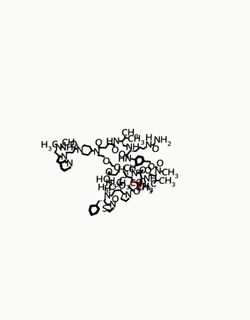 CC[C@H](C)[C@@H]([C@@H](CC(=O)N1CCC[C@H]1[C@H](OC)[C@@H](C)C(=O)N[C@@H](Cc1ccccc1)c1nccs1)OC)N(C)C(=O)[C@@H](NC(=O)[C@H](C(C)C)N(C)C(=O)OCc1ccc(NC(=O)[C@H](CCCNC(N)=O)NC[C@@H](NC(=O)CCC(=O)N(CCOCCOCCC(=O)O)C2CCN(C(=O)CCn3c(CN(C)NC)cc4cccnc43)CC2)C(C)C)cc1)C(C)C